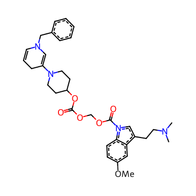 COc1ccc2c(c1)c(CCN(C)C)cn2C(=O)OCOC(=O)OC1CCN(C2=CN(Cc3ccccc3)C=CC2)CC1